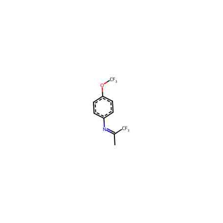 C/C(=N/c1ccc(OC(F)(F)F)cc1)C(F)(F)F